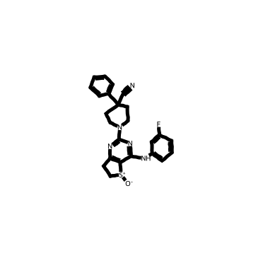 N#CC1(c2ccccc2)CCN(c2nc3c(c(Nc4cccc(F)c4)n2)[S+]([O-])CC3)CC1